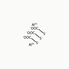 O=C([O-])[S-].O=C([O-])[S-].O=C([O-])[S-].[Al+3].[Al+3]